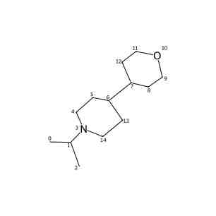 CC(C)N1CCC(C2CCOCC2)CC1